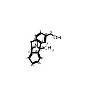 CC12NC(Cc3ccc(CO)cc31)c1ccccc12